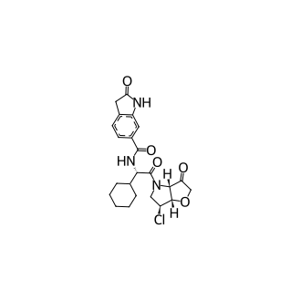 O=C1Cc2ccc(C(=O)N[C@H](C(=O)N3C[C@H](Cl)[C@H]4OCC(=O)[C@H]43)C3CCCCC3)cc2N1